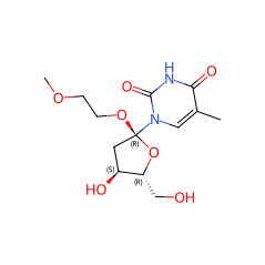 COCCO[C@]1(n2cc(C)c(=O)[nH]c2=O)C[C@H](O)[C@@H](CO)O1